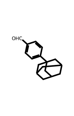 O=Cc1ccc(C23CC4CC(CC(C4)C2)C3)cc1